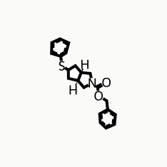 O=C(OCc1ccccc1)N1C[C@H]2CC(Sc3ccccc3)C[C@H]2C1